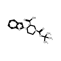 CC(C)(C)OC(=O)N1CC[C@H](c2cc3ccccc3o2)[C@@H](C(=O)O)C1